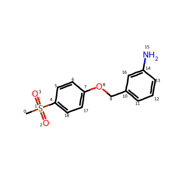 CS(=O)(=O)c1ccc(OCc2cccc(N)c2)cc1